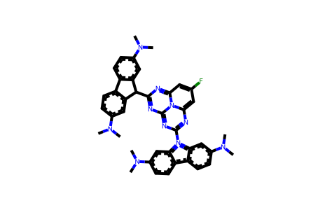 CN(C)c1ccc2c(c1)C(C1=NC3=NC(n4c5cc(N(C)C)ccc5c5ccc(N(C)C)cc54)=NC4=CC(F)=CC(=N1)N43)c1cc(N(C)C)ccc1-2